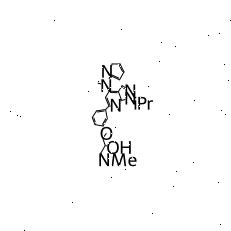 CNCC(O)COc1cccc(-c2cc(N(C)c3ccccn3)c3cnn(C(C)C)c3n2)c1